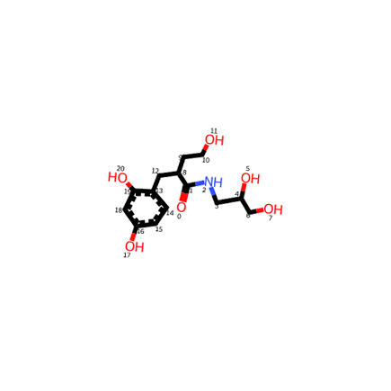 O=C(NCC(O)CO)C(CCO)Cc1ccc(O)cc1O